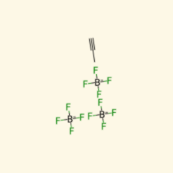 C#CC.F[B-](F)(F)F.F[B-](F)(F)F.F[B-](F)(F)F